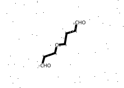 O=CCCCOCCC=O